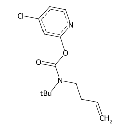 C=CCCN(C(=O)Oc1cc(Cl)ccn1)C(C)(C)C